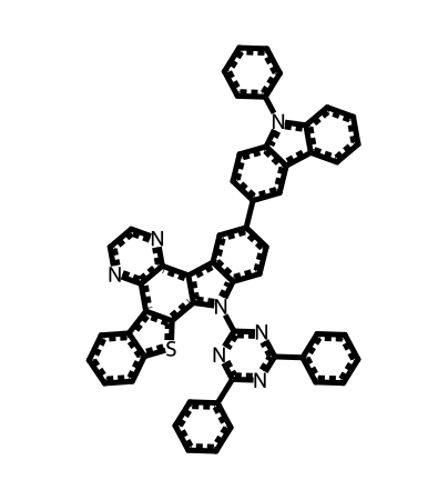 c1ccc(-c2nc(-c3ccccc3)nc(-n3c4ccc(-c5ccc6c(c5)c5ccccc5n6-c5ccccc5)cc4c4c5nccnc5c5c6ccccc6sc5c43)n2)cc1